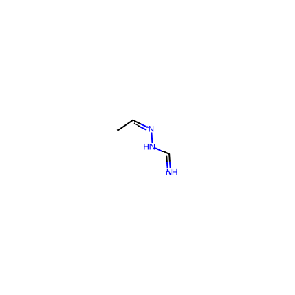 C/C=N\NC=N